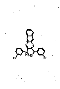 SC(c1cccc(Br)c1)c1nc2cc3ccccc3cc2nc1C(S)c1cccc(Br)c1